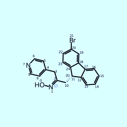 O/N=C(\Cc1ccncc1)C[C@H]1c2ccccc2-c2cc(Br)ccc21